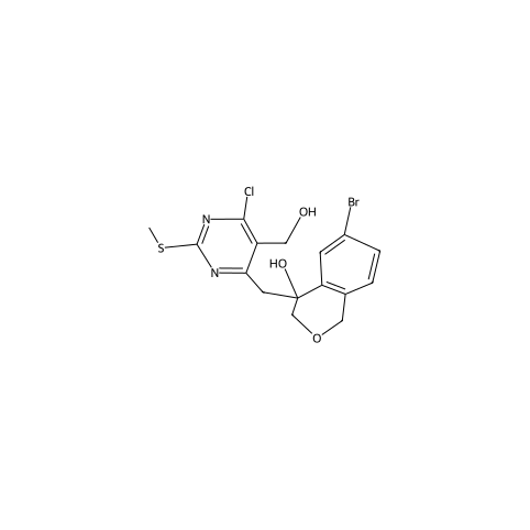 CSc1nc(Cl)c(CO)c(CC2(O)COCc3ccc(Br)cc32)n1